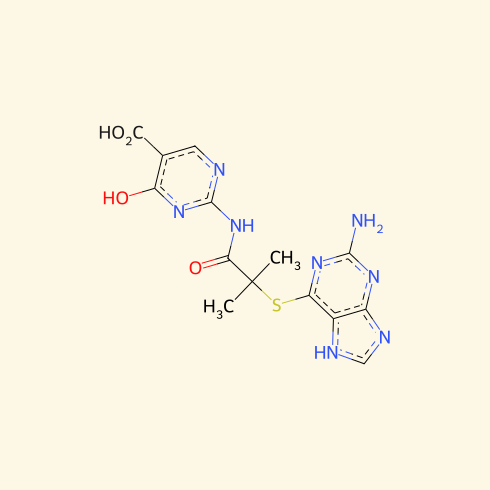 CC(C)(Sc1nc(N)nc2nc[nH]c12)C(=O)Nc1ncc(C(=O)O)c(O)n1